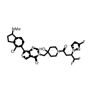 CNC1CCc2c1ccc(-c1scc3c(=O)n(CC4(O)CCN(C(=O)CC(C(F)F)n5ccc(F)n5)CC4)cnc13)c2Cl